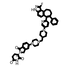 O=C1CC[C@H](N2Cc3cc(N4CCN(CC5CCN(c6ccc(C7=C(c8ccccc8)CCCc8c7ccc7[nH]nc(F)c87)nc6)CC5)CC4)ccc3C2=O)C(=O)N1